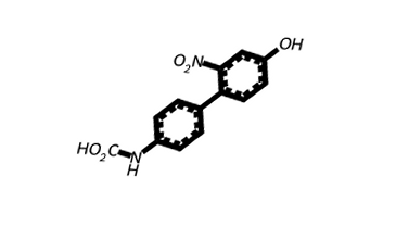 O=C(O)Nc1ccc(-c2ccc(O)cc2[N+](=O)[O-])cc1